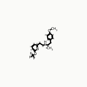 COc1ccc(C[C@@H](C)NCCc2cccc(OC(F)(F)F)n2)cc1